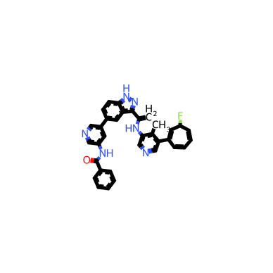 C=C(Nc1cncc(C2=CC(F)C=CC=C2)c1C)c1n[nH]c2ccc(-c3cncc(NC(=O)c4ccccc4)c3)cc12